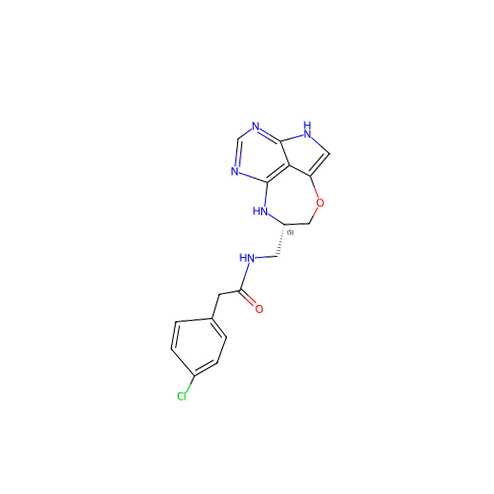 O=C(Cc1ccc(Cl)cc1)NC[C@H]1COc2c[nH]c3ncnc(c23)N1